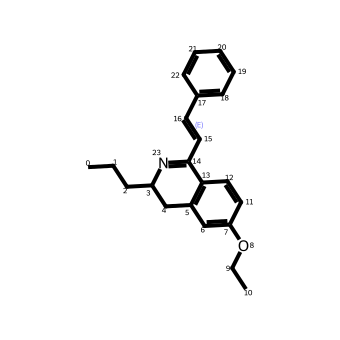 CCCC1Cc2cc(OCC)ccc2C(/C=C/c2ccccc2)=N1